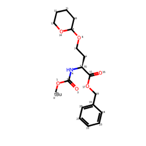 CC(C)(C)OC(=O)N[C@@H](CCOC1CCCCO1)C(=O)OCc1ccccc1